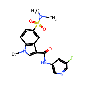 CCn1cc(C(=O)Nc2cncc(F)c2)c2cc(S(=O)(=O)N(C)C)ccc21